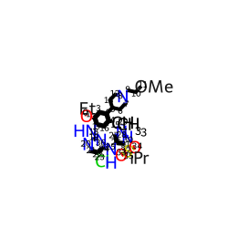 CCOc1cc(C2CCN(CCOC)CC2)c(C)cc1Nc1ncc(Cl)c(Nc2cn(C)nc2S(=O)(=O)C(C)C)n1